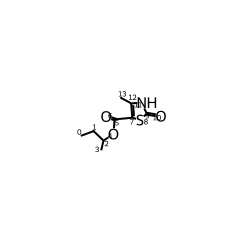 CCC(C)OC(=O)c1sc(=O)[nH]c1C